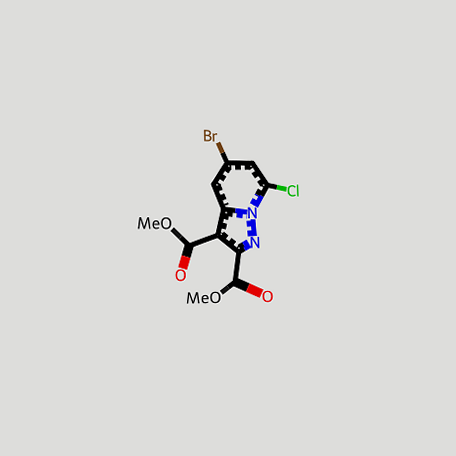 COC(=O)c1nn2c(Cl)cc(Br)cc2c1C(=O)OC